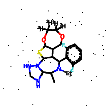 [2H]C1([2H])OCC2C(OC1([2H])[2H])SC1C2C(c2c(F)cccc2F)N(CC)C(C)C2NCNN21